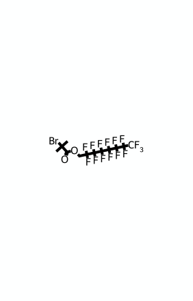 CC(C)(Br)C(=O)OCC(F)(F)C(F)(F)C(F)(F)C(F)(F)C(F)(F)C(F)(F)C(F)(F)F